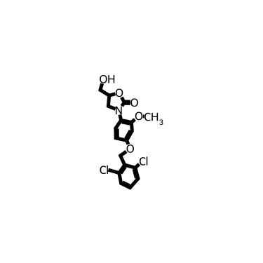 COc1cc(OCc2c(Cl)cccc2Cl)ccc1N1CC(CO)OC1=O